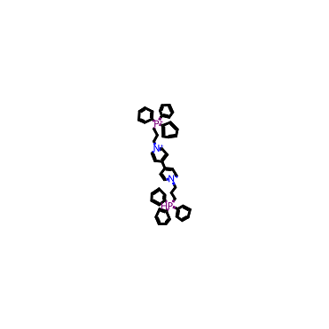 c1ccc([P+](CCC[n+]2ccc(-c3cc[n+](CCC[PH](c4ccccc4)(c4ccccc4)c4ccccc4)cc3)cc2)(c2ccccc2)c2ccccc2)cc1